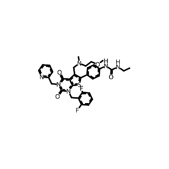 CCNC(=O)Nc1ccc(-c2sc3c(c2CN(C)CCOC)c(=O)n(Cc2ccccn2)c(=O)n3Cc2c(F)cccc2F)cc1